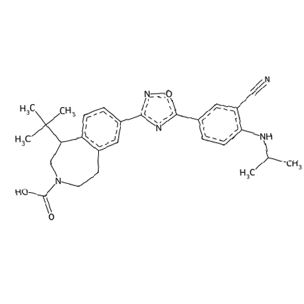 CC(C)Nc1ccc(-c2nc(-c3ccc4c(c3)CCN(C(=O)O)CC4C(C)(C)C)no2)cc1C#N